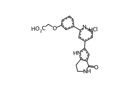 Cl.O=C(O)COc1cccc(-c2cc(-c3cc4c([nH]3)CCNC4=O)ccn2)c1